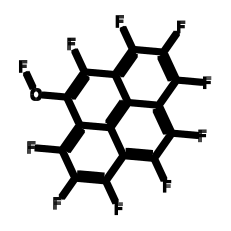 FOc1c(F)c2c(F)c(F)c(F)c3c(F)c(F)c4c(F)c(F)c(F)c1c4c32